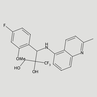 COc1cc(F)ccc1C(Nc1cccc2nc(C)ccc12)C(O)(CO)C(F)(F)F